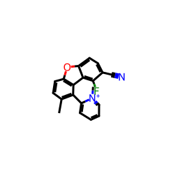 Cc1ccc2oc3ccc(C#N)c(F)c3c2c1-c1cccc[n+]1C